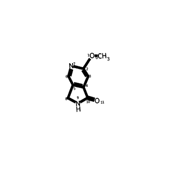 COc1cc2c(cn1)CNC2=O